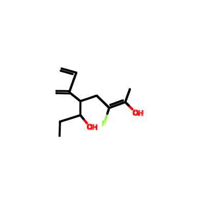 C=CC(=C)C(C/C(F)=C(\C)O)C(O)CC